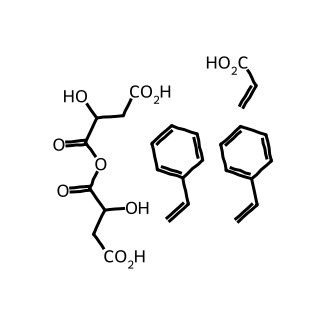 C=CC(=O)O.C=Cc1ccccc1.C=Cc1ccccc1.O=C(O)CC(O)C(=O)OC(=O)C(O)CC(=O)O